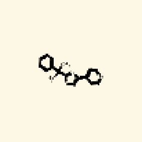 CC(C)(c1ccccc1)c1nc(-c2ccncc2)cs1